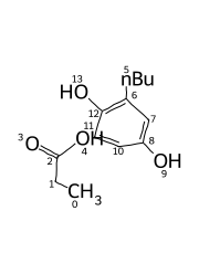 CCC(=O)O.CCCCc1cc(O)ccc1O